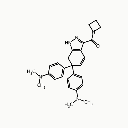 CN(C)c1ccc(C2(c3ccc(N(C)C)cc3)C=Cc3c(C(=O)N4CCC4)n[nH]c3C2)cc1